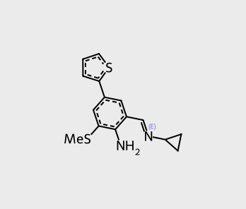 CSc1cc(-c2cccs2)cc(/C=N/C2CC2)c1N